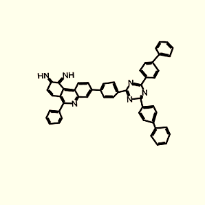 N=C1C=Cc2c(-c3ccccc3)nc3cc(-c4ccc(-c5nc(-c6ccc(-c7ccccc7)cc6)nc(-c6ccc(-c7ccccc7)cc6)n5)cc4)ccc3c2C1=N